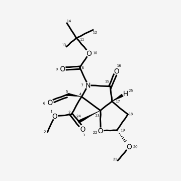 COC(=O)[C@]1(C=O)N(C(=O)OC(C)(C)C)C(=O)[C@@H]2C[C@H](OC)O[C@@]21C